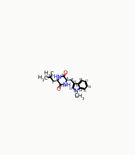 CC(C)C[C@H]1NC(=O)[C@@H](Cc2cn(C)c3ccccc23)NC1=O